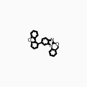 c1ccc2c(c1)COc1nc3ccc(-c4cccc5oc6ccccc6c45)cc3n1-2